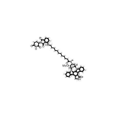 CO[C@@H]1[C@H](N(C)C(=O)CCCCCCCCCCCNc2cccc3c2C(=O)N(C2CCC(=O)NC2=O)C3=O)C[C@H]2O[C@]1(C)n1c3ccccc3c3c4c(c5c6ccccc6n2c5c31)C(=O)NC4